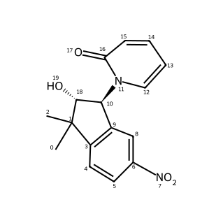 CC1(C)c2ccc([N+](=O)[O-])cc2[C@H](n2ccccc2=O)[C@H]1O